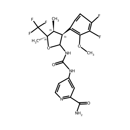 COc1c([C@H]2C(NC(=O)Nc3ccnc(C(N)=O)c3)O[C@@](C)(C(F)(F)F)[C@H]2C)ccc(F)c1F